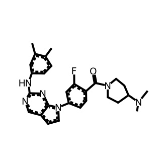 Cc1ccc(Nc2ncc3ccn(-c4ccc(C(=O)N5CCC(N(C)C)CC5)c(F)c4)c3n2)cc1C